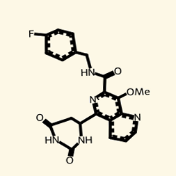 COc1c(C(=O)NCc2ccc(F)cc2)nc(C2CC(=O)NC(=O)N2)c2cccnc12